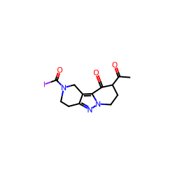 CC(=O)C1CCn2nc3c(c2C1=O)CN(C(=O)I)CC3